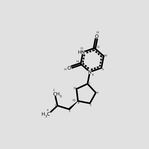 CC(C)C[C@@H]1CCC(n2ccc(=O)[nH]c2=O)C1